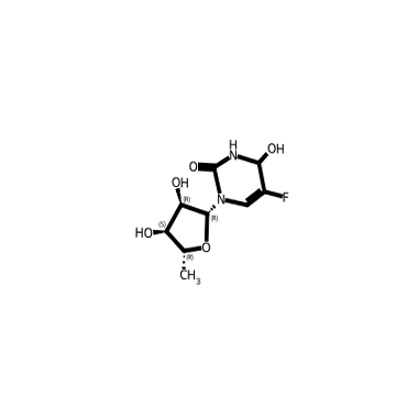 C[C@H]1O[C@@H](N2C=C(F)C(O)NC2=O)[C@H](O)[C@@H]1O